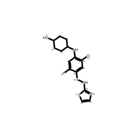 OC1CCC(Nc2cc(F)c(SNc3nccs3)cc2Cl)CC1